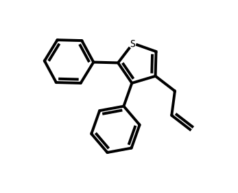 C=CCc1csc(-c2ccccc2)c1-c1ccccc1